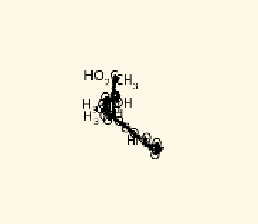 CC(CCCc1ccc(O)c(NC(=O)[C@H](C)NC(=O)[C@H](C)NC(=O)CCOCCOCCOCCNC(=O)CCCN2C(=O)C=CC2=O)c1)C(=O)O